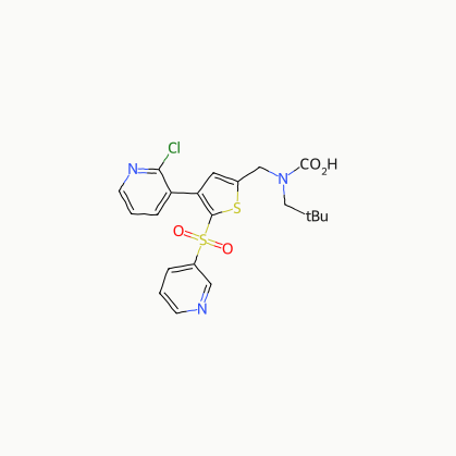 CC(C)(C)CN(Cc1cc(-c2cccnc2Cl)c(S(=O)(=O)c2cccnc2)s1)C(=O)O